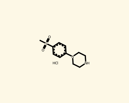 CS(=O)(=O)c1ccc(N2CCNCC2)cc1.Cl